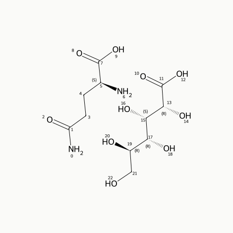 NC(=O)CC[C@H](N)C(=O)O.O=C(O)[C@H](O)[C@@H](O)[C@H](O)[C@H](O)CO